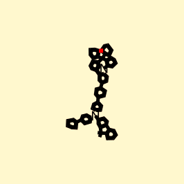 CC1(C)c2ccccc2-c2ccc(N(c3ccc(-c4ccccc4)cc3)c3ccc(-c4ccc(-c5ccc6c(c5)c5cccc7c5n6-c5ccccc5C7(c5ccccc5)c5ccccc5)cc4)cc3)cc21